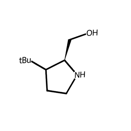 CC(C)(C)C1CCN[C@@H]1CO